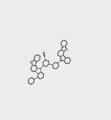 N#Cc1cc(-c2cccc(-n3c4ccccc4c4c5oc6ccccc6c5ccc43)c2)cc(C2c3cccc(-c4ccccc4)c3-c3ccc4oc5ccccc5c4c32)c1